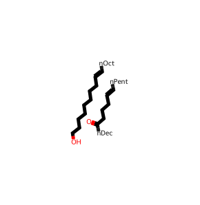 CCCCCC=CCCCC(=O)CCCCCCCCCC.CCCCCCCCC=CCCCCCCCCO